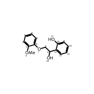 COc1ccccc1OCC(O)c1ccccc1O